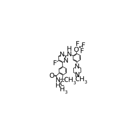 CN1CCN(c2ccc(OC(F)(F)F)c(Nc3ncc(F)c(-c4ccc5c(c4)C(=O)NC5(C)C)n3)c2)CC1